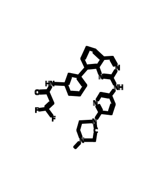 CN1CCN(c2ccc(Nc3ncc4cccc(-c5cccc(NC(=O)C=C(F)F)c5)c4n3)cn2)CC1